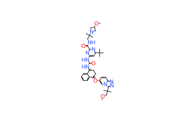 COCC(C)(C)c1nnc2ccc(O[C@@H]3CC[C@H](NC(=O)Nc4cc(C(C)(C)C)nc(C(=O)NCC(C)(C)N5CC(OC)C5)n4)c4ccccc43)cn12